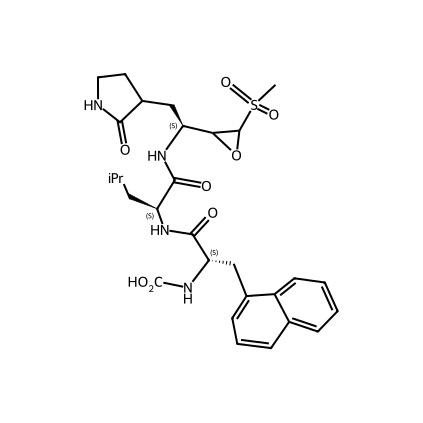 CC(C)C[C@H](NC(=O)[C@H](Cc1cccc2ccccc12)NC(=O)O)C(=O)N[C@@H](CC1CCNC1=O)C1OC1S(C)(=O)=O